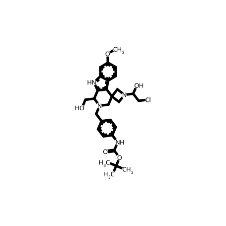 COc1ccc2c3c([nH]c2c1)C(CO)N(Cc1ccc(NC(=O)OC(C)(C)C)cc1)CC31CN(C(O)CCl)C1